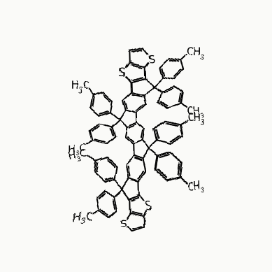 Cc1ccc(C2(c3ccc(C)cc3)c3cc4c(cc3-c3cc5c(cc32)-c2sc3ccsc3c2C5(c2ccc(C)cc2)c2ccc(C)cc2)C(c2ccc(C)cc2)(c2ccc(C)cc2)c2cc3c(cc2-4)C(c2ccc(C)cc2)(c2ccc(C)cc2)c2c-3sc3ccsc23)cc1